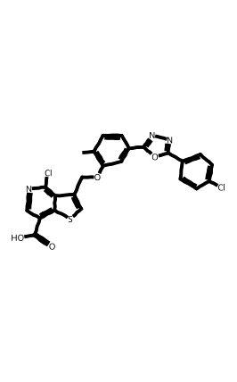 Cc1ccc(-c2nnc(-c3ccc(Cl)cc3)o2)cc1OCc1csc2c(C(=O)O)cnc(Cl)c12